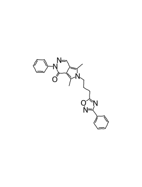 Cc1c2cnn(-c3ccccc3)c(=O)c2c(C)n1CCCc1nc(-c2ccccc2)no1